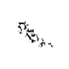 CC(=O)SCCn1nc(-c2ccccc2F)cc1O